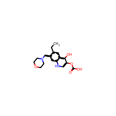 CCc1cc2c(cc1=CN1CCOCC1)NC=C(OC(=O)O)C=2O